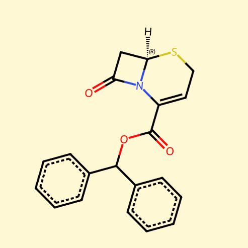 O=C(OC(c1ccccc1)c1ccccc1)C1=CCS[C@@H]2CC(=O)N12